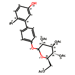 CC(=O)OC[C@H]1OC(Oc2ccc(-c3cc(O)ccc3C(C)C)cc2)[C@H](OC(C)=O)[C@@H](OC(C)=O)[C@@H]1OC(C)=O